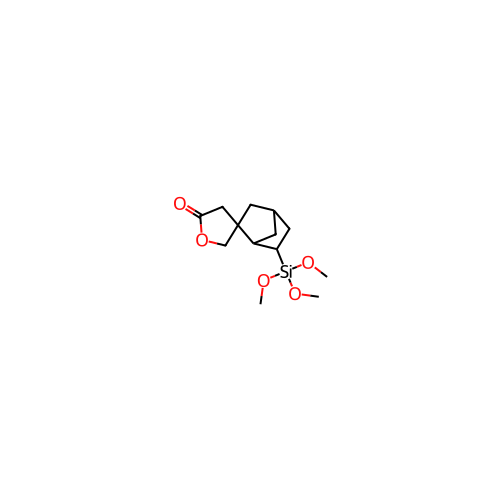 CO[Si](OC)(OC)C1CC2CC1C1(COC(=O)C1)C2